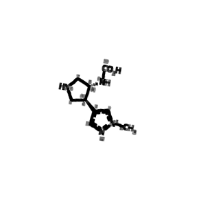 Cn1cc([C@H]2CNC[C@@H]2NC(=O)O)cn1